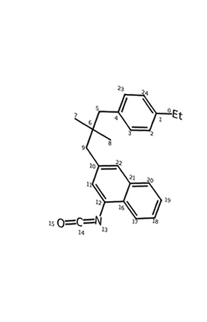 CCc1ccc(CC(C)(C)Cc2cc(N=C=O)c3ccccc3c2)cc1